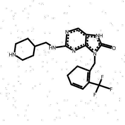 O=c1[nH]c2cnc(NCC3CCNCC3)nc2n1CC1=C(C(F)(F)F)C=CCC1